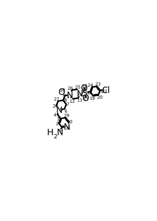 Nc1cc(CN2CCC(C(=O)N3CCN(S(=O)(=O)c4ccc(Cl)cc4)CC3)CC2)ccn1